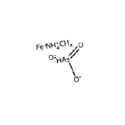 C.O=[AsH]([O-])[O-].[Fe+].[NH4+]